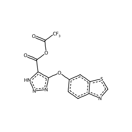 O=C(OC(=O)C(F)(F)F)c1[nH]nnc1Oc1ccc2ncsc2c1